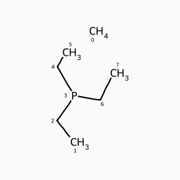 C.CCP(CC)CC